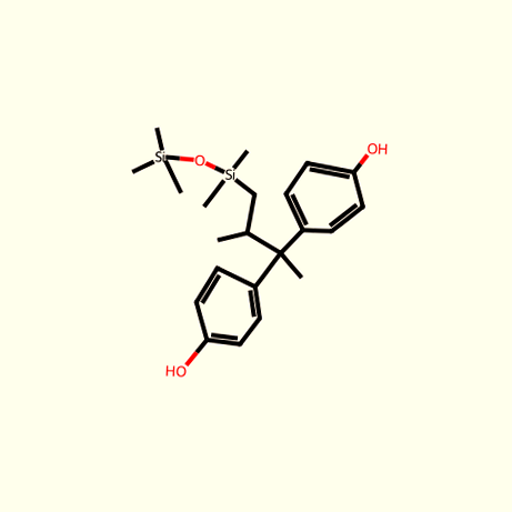 CC(C[Si](C)(C)O[Si](C)(C)C)C(C)(c1ccc(O)cc1)c1ccc(O)cc1